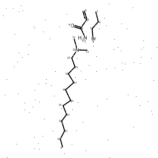 C=CC(N)=O.CCCBr.CCCCCCCCCCCCN(C)C